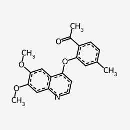 COc1cc2nccc(Oc3cc(C)ccc3C(C)=O)c2cc1OC